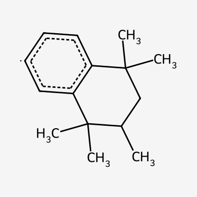 CC1CC(C)(C)c2cc[c]cc2C1(C)C